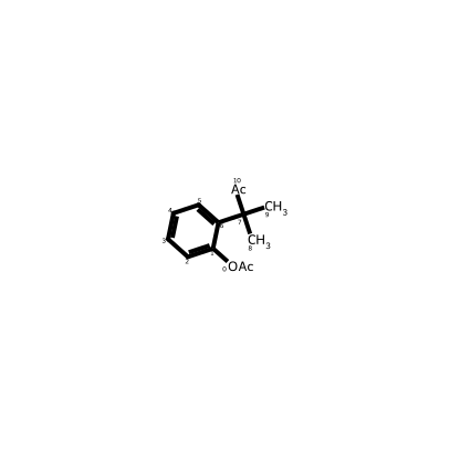 CC(=O)Oc1ccccc1C(C)(C)C(C)=O